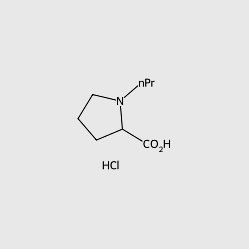 CCCN1CCCC1C(=O)O.Cl